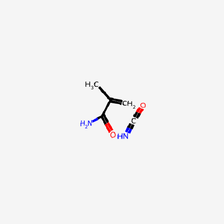 C=C(C)C(N)=O.N=C=O